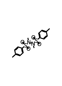 Cc1ccc(S(=O)(=O)N(C)N(C)S(=O)(=O)c2ccc(C)cc2)cc1